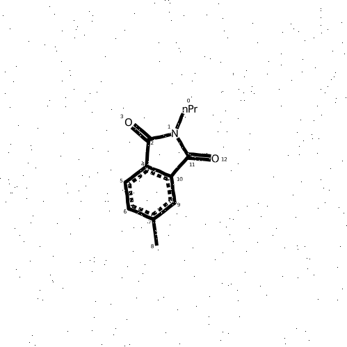 CCCN1C(=O)c2ccc(C)cc2C1=O